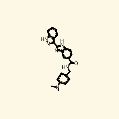 CN(C)c1ccc(CNC(=O)c2ccc3[nH]c(-c4n[nH]c5ccccc45)nc3c2)cc1